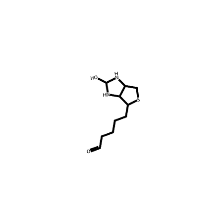 O=CCCCCC1SCC2NC(O)NC21